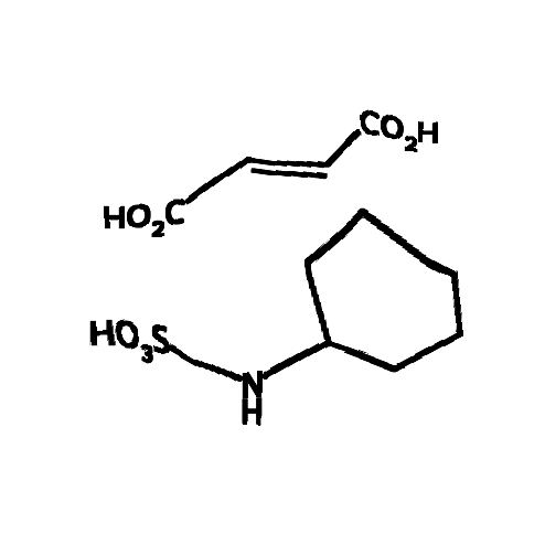 O=C(O)/C=C/C(=O)O.O=S(=O)(O)NC1CCCCC1